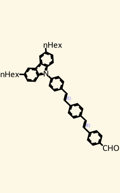 CCCCCCc1ccc2c(c1)c1cc(CCCCCC)ccc1n2-c1ccc(/C=C/c2ccc(/C=C/c3ccc(C=O)cc3)cc2)cc1